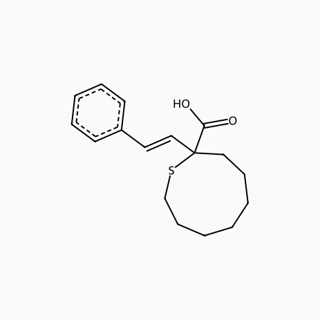 O=C(O)C1(C=Cc2ccccc2)CCCCCCCS1